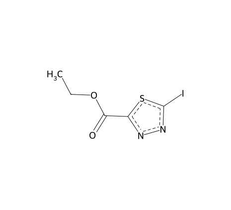 CCOC(=O)c1nnc(I)s1